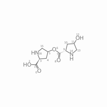 O=C(O)[C@@H]1CC(OC(=O)[C@@H]2CC(O)CN2)CN1